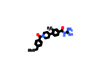 COCc1ccc(C(=O)N2CCC(c3ccc(C(=O)NC(=N)N)cc3C(F)(F)F)CC2)cc1